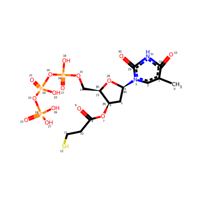 Cc1cn([C@H]2C[C@@H](OC(=O)CCS)[C@@H](COP(=O)(O)OP(=O)(O)OP(=O)(O)O)O2)c(=O)[nH]c1=O